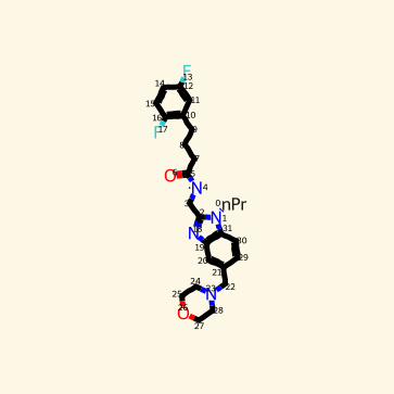 CCCn1c(C[N]C(=O)CCCc2cc(F)ccc2F)nc2cc(CN3CCOCC3)ccc21